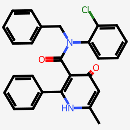 Cc1cc(=O)c(C(=O)N(Cc2ccccc2)c2ccccc2Cl)c(-c2ccccc2)[nH]1